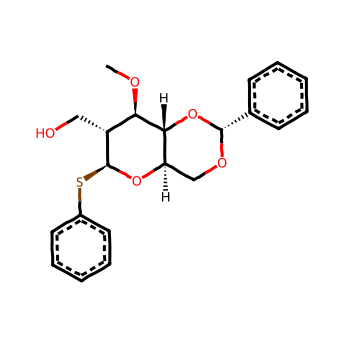 CO[C@@H]1[C@@H](CO)[C@H](Sc2ccccc2)O[C@@H]2CO[C@@H](c3ccccc3)O[C@@H]12